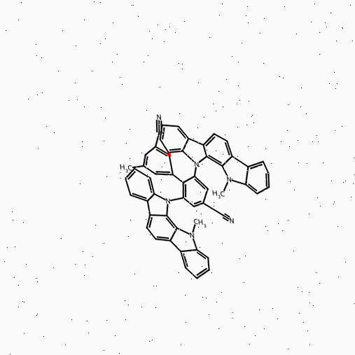 Cc1cc(C#N)cc(-c2c(-n3c4ccccc4c4ccc5c6ccccc6n(C)c5c43)cc(C#N)cc2-n2c3ccccc3c3ccc4c5ccccc5n(C)c4c32)c1